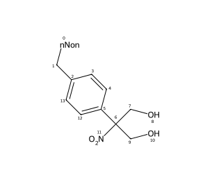 CCCCCCCCCCc1ccc(C(CO)(CO)[N+](=O)[O-])cc1